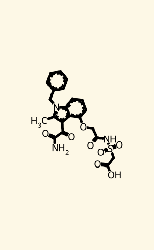 Cc1c(C(=O)C(N)=O)c2c(OCC(=O)NS(=O)(=O)CC(=O)O)cccc2n1Cc1ccccc1